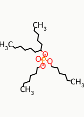 CCCCCCOP(=O)(OCCCCCC)OC(CCCCC)CCCCCC